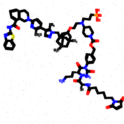 Cc1c(-c2ccc(N3CCc4cccc(C(=O)Nc5nc6ccccc6s5)c4C3)nc2C(=O)O)cnn1CC12CC3(C)CC(C)(C1)CC(OCCN(CCCP(=O)(O)O)C1CCN(C(=O)OCc4ccc(N(C(N)=O)C(=O)[C@H](CCCN)NC(=O)[C@@H](NC(=O)CCCCCN5C(=O)C=CC5=O)C(C)C)cc4)CC1)(C3)C2